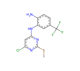 CSc1nc(Cl)cc(Nc2cc(C(F)(F)F)ccc2N)n1